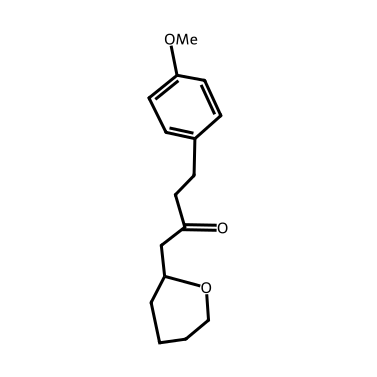 COc1ccc(CCC(=O)CC2CCCCO2)cc1